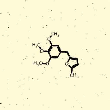 COc1cc(Cc2ccc(C)o2)cc(OC)c1OC